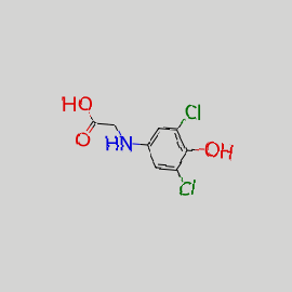 O=C(O)CNc1cc(Cl)c(O)c(Cl)c1